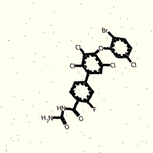 NC(=O)NC(=O)c1ccc(-c2cc(Cl)c(Oc3cc(Cl)ccc3Br)c(Cl)c2Cl)cc1F